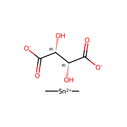 O=C([O-])[C@H](O)[C@@H](O)C(=O)[O-].[CH3][Sn+2][CH3]